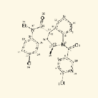 CCc1ccc(C(=O)N2c3ccccc3[C@@H](C(=O)N(CC)c3ccc(Cl)cc3)C[C@@H]2C)cn1